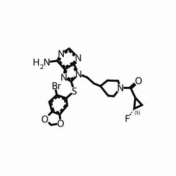 Nc1ncnc2c1nc(Sc1cc3c(cc1Br)OCO3)n2CCC1CCN(C(=O)C2C[C@@H]2F)CC1